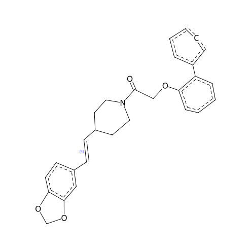 O=C(COc1ccccc1-c1ccccc1)N1CCC(/C=C/c2ccc3c(c2)OCO3)CC1